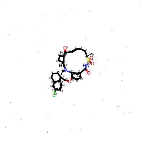 C[C@@H]1CC/C=C/C(=O)[C@@H]2CC[C@H]2CN2C[C@@]3(CCCc4cc(Cl)ccc43)COc3ccc(cc32)C(=O)NS1(=O)=O